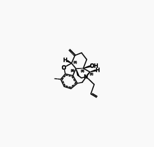 C=CCN1CC[C@@]23c4c5ccc(C)c4O[C@@H]2C(=C)CC[C@]3(O)[C@@H]1C5